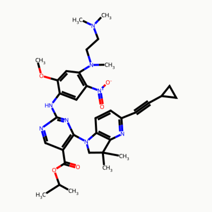 COc1cc(N(C)CCN(C)C)c([N+](=O)[O-])cc1Nc1ncc(C(=O)OC(C)C)c(N2CC(C)(C)c3nc(C#CC4CC4)ccc32)n1